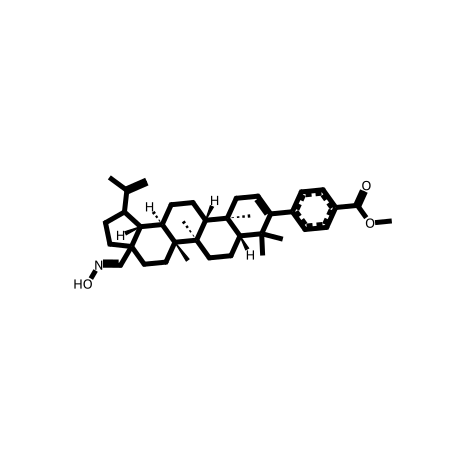 C=C(C)C1CCC2(/C=N/O)CC[C@]3(C)[C@H](CC[C@@H]4[C@@]5(C)CC=C(c6ccc(C(=O)OC)cc6)C(C)(C)[C@@H]5CC[C@]43C)[C@@H]12